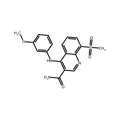 COc1cccc(Nc2c(C(N)=O)cnc3c(S(C)(=O)=O)cccc23)c1